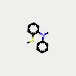 CSc1ccccc1N(C)c1ccccc1